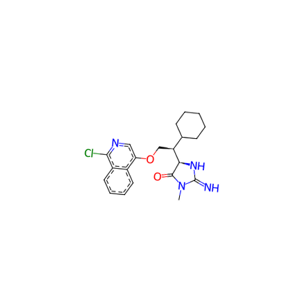 CN1C(=N)N[C@H]([C@@H](COc2cnc(Cl)c3ccccc23)C2CCCCC2)C1=O